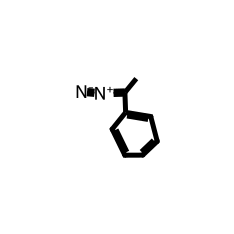 CC(=[N+]=[N-])c1ccccc1